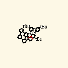 CC(C)(C)c1cc2c3c(c1)-n1c4ccc(C(C)(C)C)cc4c4cc(C(C)(C)C)cc(c41)B3c1cc(-c3ccccc3-c3ccccc3)cc(-c3ccccc3-c3ccccc3)c1O2